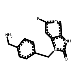 NCc1ccc(Cn2c(=O)[nH]c3ccc(F)cc32)cc1